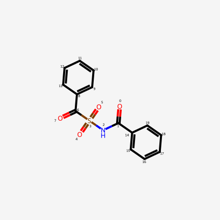 O=C(NS(=O)(=O)C(=O)c1ccccc1)c1ccccc1